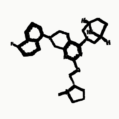 CN1CCC[C@H]1COc1nc2c(c(N3C[C@H]4CC[C@@H](C3)N4)n1)CCN(c1cccc3c(F)cccc13)C2